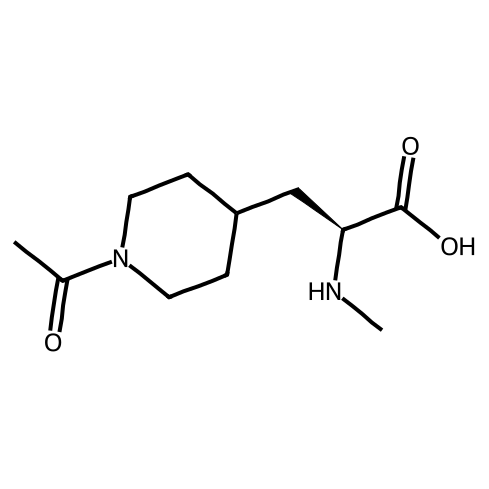 CN[C@@H](CC1CCN(C(C)=O)CC1)C(=O)O